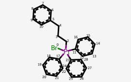 BrP(CCCc1ccccc1)(c1ccccc1)(c1ccccc1)c1ccccc1